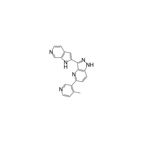 Cc1ccncc1-c1ccc2[nH]nc(-c3cc4ccncc4[nH]3)c2n1